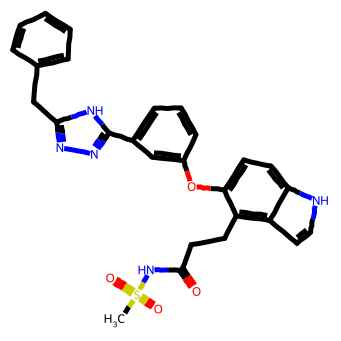 CS(=O)(=O)NC(=O)CCc1c(Oc2cccc(-c3nnc(Cc4ccccc4)[nH]3)c2)ccc2[nH]ccc12